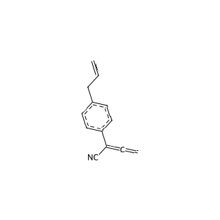 C=C=C(C#N)c1ccc(CC=C)cc1